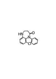 O=C1CCNc2cccc(Cl)c2N1c1ccccc1